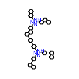 c1ccc2cc(C3N=C(c4ccc5c(ccc6c(-c7ccc(-c8ccc(C9N=C(c%10ccc(-c%11cccc%12ccccc%11%12)cc%10)N=C(c%10ccc(-c%11cccc%12ccccc%11%12)cc%10)N9)cc8)cc7)cccc65)c4)N=C(c4ccc5c(ccc6ccccc65)c4)N3)ccc2c1